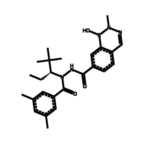 CC[C@@H](N(NC(=O)c1ccc2c(c1)B(O)N(C)N=C2)C(=O)c1cc(C)cc(C)c1)C(C)(C)C